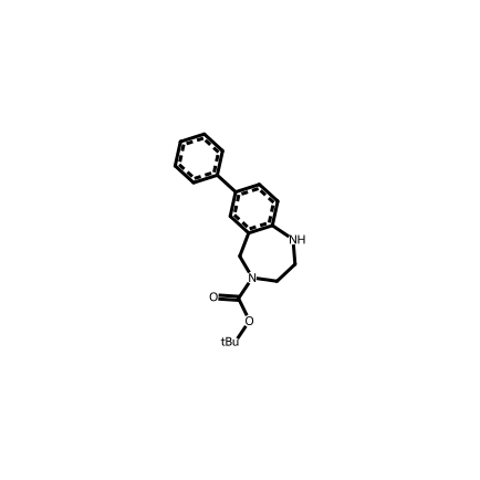 CC(C)(C)OC(=O)N1CCNc2ccc(-c3ccccc3)cc2C1